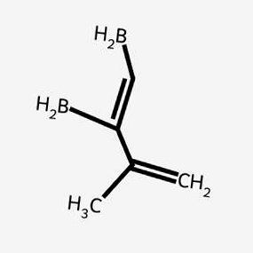 B/C=C(\B)C(=C)C